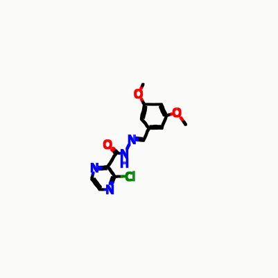 COc1cc(C=NNC(=O)c2nccnc2Cl)cc(OC)c1